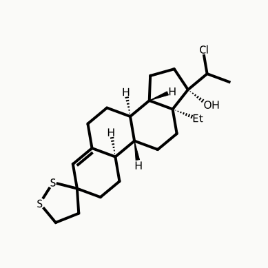 CC[C@]12CC[C@H]3[C@@H](CCC4=CC5(CCSS5)CC[C@@H]43)[C@@H]1CC[C@@]2(O)C(C)Cl